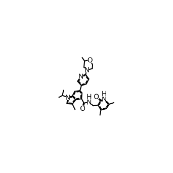 Cc1cc(C)c(CNC(=O)c2cc(-c3ccc(N4CCOC(C)C4)nc3)cc3c2c(C)cn3C(C)C)c(=O)[nH]1